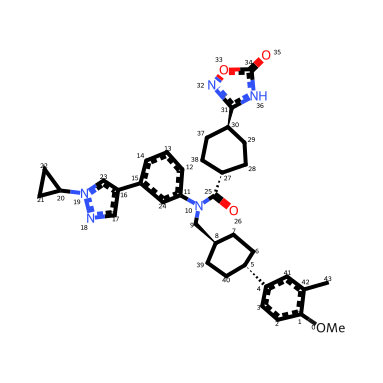 COc1ccc([C@H]2CC[C@H](CN(c3cccc(-c4cnn(C5CC5)c4)c3)C(=O)[C@H]3CC[C@H](c4noc(=O)[nH]4)CC3)CC2)cc1C